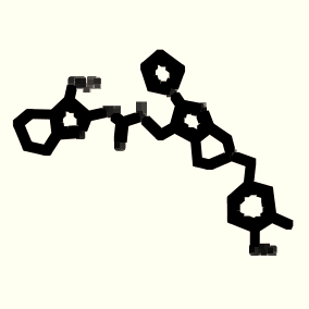 CCOC(=O)c1c(NC(=O)NCc2c(-n3cccc3)sc3c2CCN(Cc2ccc(OC)c(C)c2)C3)sc2c1CCCC2